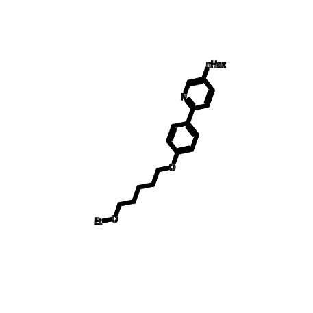 CCCCCCc1ccc(-c2ccc(OCCCCCOCC)cc2)nc1